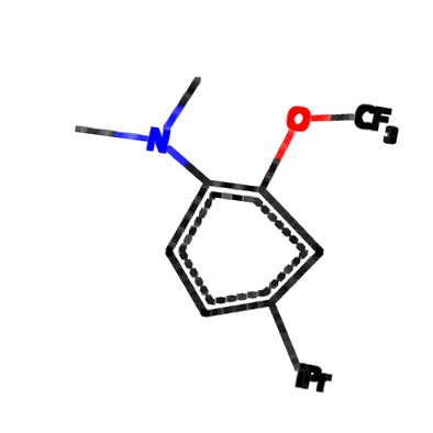 CC(C)c1ccc(N(C)C)c(OC(F)(F)F)c1